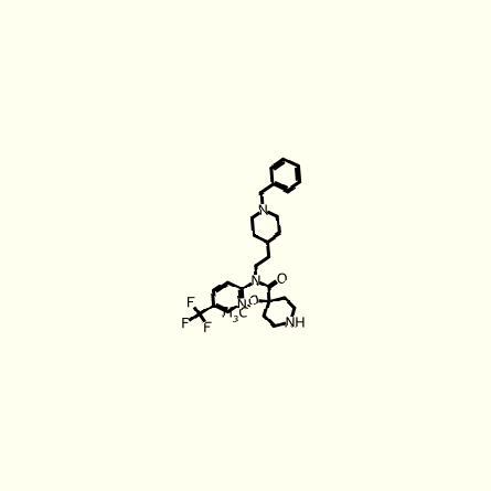 COC1(C(=O)N(CCC2CCN(Cc3ccccc3)CC2)c2ccc(C(F)(F)F)cn2)CCNCC1